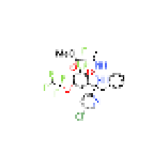 COC(=O)C(F)(F)C(C)NC(=O)N[C@@](Cc1ccccc1)(c1cc(F)cc(OC(F)(F)C(F)F)c1)c1ccc(Cl)cn1